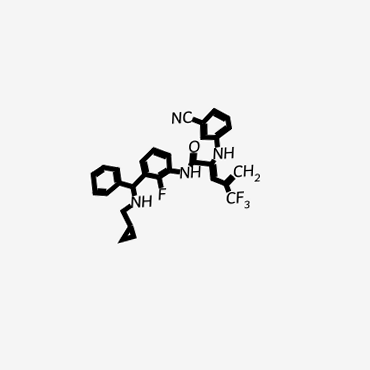 C=C(/C=C(\Nc1cccc(C#N)c1)C(=O)Nc1cccc(C(NCC2CC2)c2ccccc2)c1F)C(F)(F)F